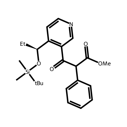 CC[C@H](O[Si](C)(C)C(C)(C)C)c1ccncc1C(=O)C(C(=O)OC)c1ccccc1